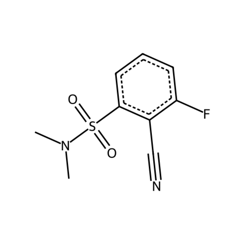 CN(C)S(=O)(=O)c1cccc(F)c1C#N